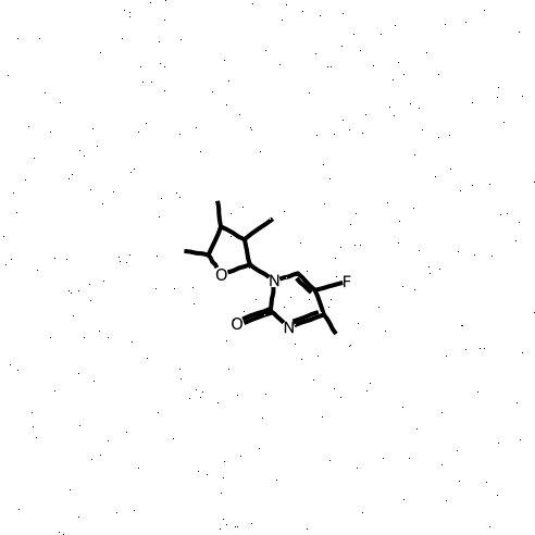 Cc1nc(=O)n(C2OC(C)C(C)C2C)cc1F